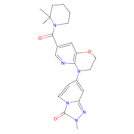 Cn1nc2cc(N3CCOc4cc(C(=O)N5CCCCC5(C)C)cnc43)ccn2c1=O